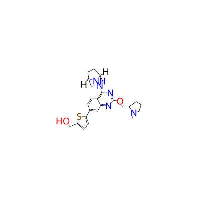 CN1CCC[C@H]1COc1nc(N2C[C@H]3CC[C@@H](C2)N3)c2ccc(-c3ccc(CO)s3)cc2n1